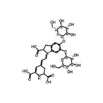 O=C(O)C1=CC(=CC=[N+]2c3cc(O[C@@H]4O[C@H](CO)[C@@H](O)[C@H](O)[C@H]4O)c(O[C@@H]4O[C@H](CO)[C@@H](O)[C@H](O)[C@H]4O)cc3CC2C(=O)O)CC(C(=O)O)N1